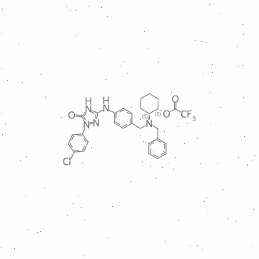 O=C(O[C@H]1CCCC[C@@H]1N(Cc1ccccc1)Cc1ccc(Nc2nn(-c3ccc(Cl)cc3)c(=O)[nH]2)cc1)C(F)(F)F